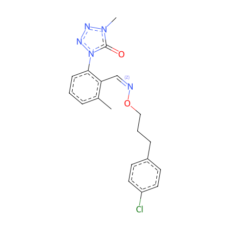 Cc1cccc(-n2nnn(C)c2=O)c1/C=N\OCCCc1ccc(Cl)cc1